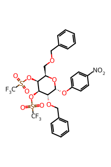 O=[N+]([O-])c1ccc(O[C@H]2O[C@H](COCc3ccccc3)[C@H](OS(=O)(=O)C(F)(F)F)[C@H](OS(=O)(=O)C(F)(F)F)[C@H]2OCc2ccccc2)cc1